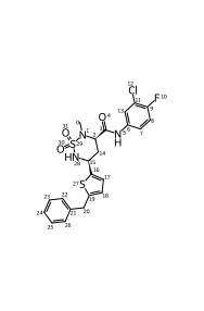 CN1[C@@H](C(=O)Nc2ccc(F)c(Cl)c2)C[C@@H](c2ccc(Cc3ccccc3)s2)NS1(=O)=O